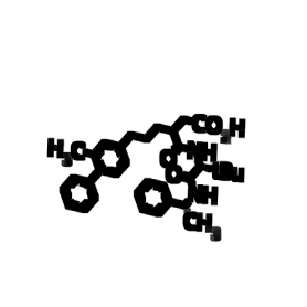 Cc1cc(CCCC(CC(=O)O)C(=O)N[C@H](C(=O)N[C@H](C)c2ccccc2)C(C)(C)C)ccc1-c1ccccc1